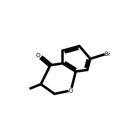 CC1COc2cc(Br)ccc2C1=O